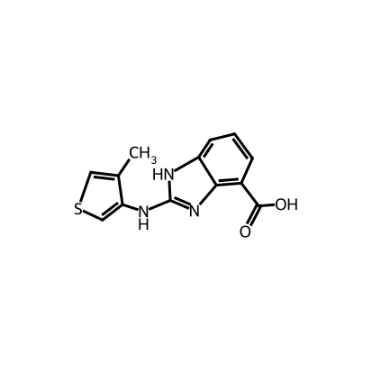 Cc1cscc1Nc1nc2c(C(=O)O)cccc2[nH]1